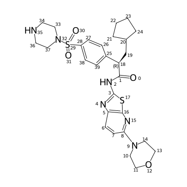 O=C(Nc1nc2ccc(N3CCOCC3)nc2s1)[C@H](CC1CCCC1)c1ccc(S(=O)(=O)N2CCNCC2)cc1